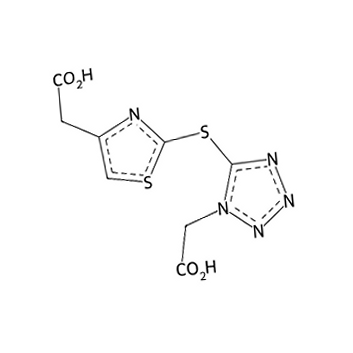 O=C(O)Cc1csc(Sc2nnnn2CC(=O)O)n1